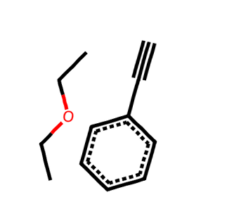 C#Cc1ccccc1.CCOCC